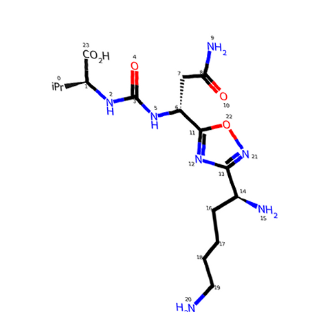 CC(C)[C@H](NC(=O)N[C@H](CC(N)=O)c1nc([C@@H](N)CCCCN)no1)C(=O)O